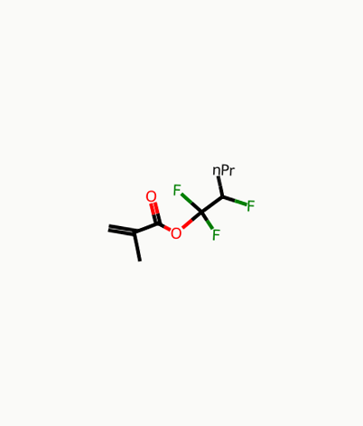 C=C(C)C(=O)OC(F)(F)C(F)CCC